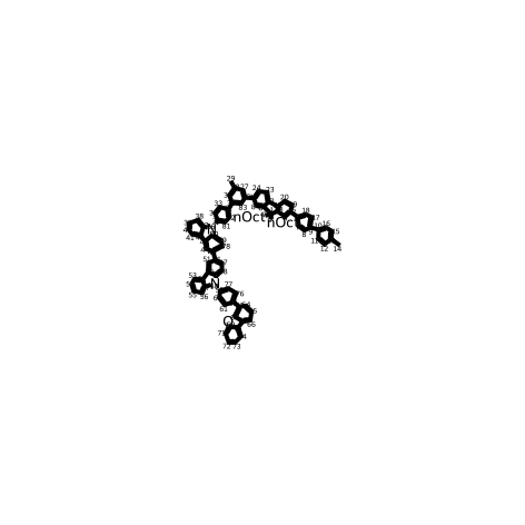 CCCCCCCCC1(CCCCCCCC)c2cc(-c3ccc(-c4ccc(C)cc4)cc3)ccc2-c2ccc(-c3cc(C)cc(-c4ccc(-n5c6ccccc6c6cc(-c7ccc8c(c7)c7ccccc7n8-c7ccc(-c8cccc9c8oc8ccccc89)cc7)ccc65)cc4)c3)cc21